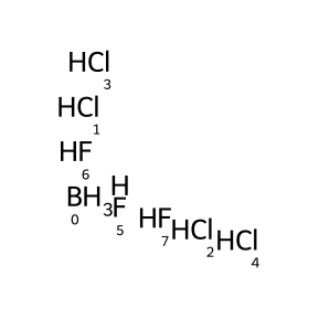 B.Cl.Cl.Cl.Cl.F.F.F